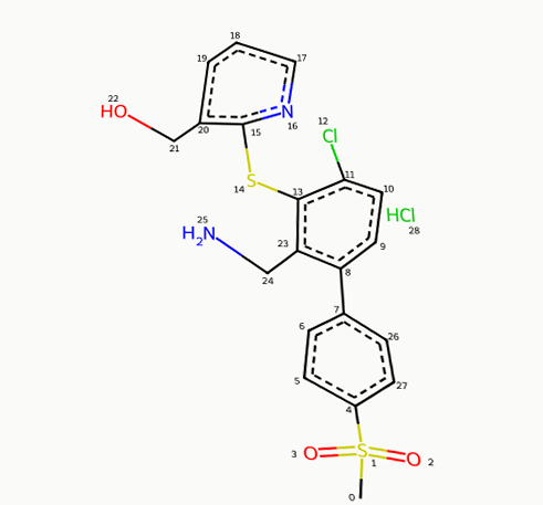 CS(=O)(=O)c1ccc(-c2ccc(Cl)c(Sc3ncccc3CO)c2CN)cc1.Cl